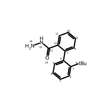 CC(C)(C)c1ccccc1-c1ccccc1C(=O)NN